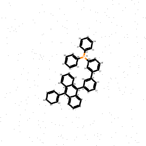 C1=CC(c2c3ccccc3c(-c3cccc(-c4cccc(P(c5ccccc5)c5ccccc5)c4)c3)c3ccccc23)=CCC1